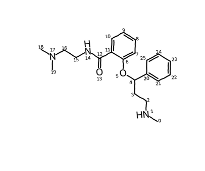 CNCCC(Oc1ccccc1C(=O)NCCN(C)C)c1ccccc1